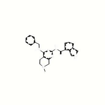 CN1CCc2c(nc(NC(=O)c3cccc4c[nH]cc34)nc2NCc2ccccc2)C1